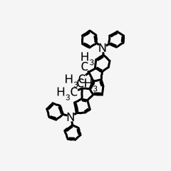 CC1(C)C2=C(CCC(N(c3ccccc3)c3ccccc3)=C2)c2ccc3c(c21)C(C)(C)c1cc(N(c2ccccc2)c2ccccc2)ccc1-3